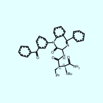 CCCC[C@H](C(N)=O)[C@@H](CC(C)C)C(=O)NC1N=C(c2ccccc2)c2ccccc2N(c2cccc(C(=O)c3ccccc3)c2)C1=O